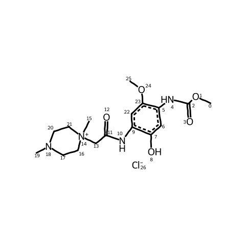 COC(=O)Nc1cc(O)c(NC(=O)C[N+]2(C)CCN(C)CC2)cc1OC.[Cl-]